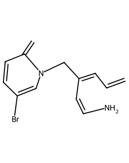 C=C/C=C(\C=C/N)CN1C=C(Br)C=CC1=C